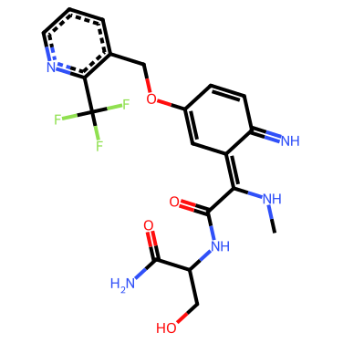 CN/C(C(=O)NC(CO)C(N)=O)=C1/C=C(OCc2cccnc2C(F)(F)F)C=CC1=N